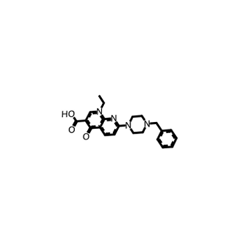 CCn1cc(C(=O)O)c(=O)c2ccc(N3CCN(Cc4ccccc4)CC3)nc21